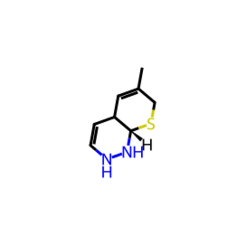 CC1=CC2C=CNN[C@H]2SC1